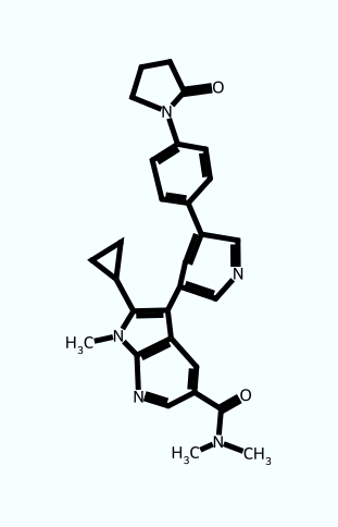 CN(C)C(=O)c1cnc2c(c1)c(-c1cncc(-c3ccc(N4CCCC4=O)cc3)c1)c(C1CC1)n2C